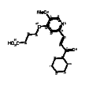 COc1cnc(/C=C/C(=O)C2CCCCC2)cc1OCCCC(=O)O